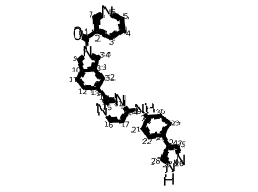 O=C(c1cccnc1)n1cc2ccc(-c3nccc(Nc4ccc(-c5cn[nH]c5)cc4)n3)cc2c1